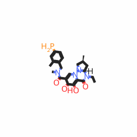 CCN1C(=O)c2c(O)c(=O)c(C(=O)N(C)Cc3ccc(P)cc3C)cn2N2C[C@@H](C)C[C@@H]12